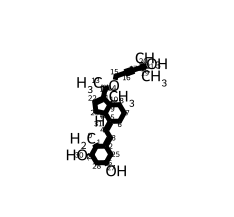 C=C1C(=CC=C2CCC[C@]3(C)C([C@H](C)OCC#CC(C)(C)O)=CC[C@@H]23)CC(O)C[C@@H]1O